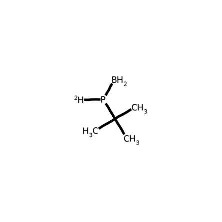 [2H]P(B)C(C)(C)C